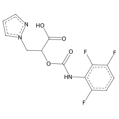 O=C(Nc1c(F)ccc(F)c1F)OC(Cn1cccn1)C(=O)O